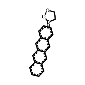 B1CCOO1.c1ccc2cc3cc4ccccc4cc3cc2c1